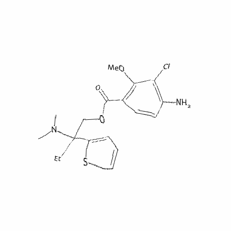 CCC(COC(=O)c1ccc(N)c(Cl)c1OC)(c1cccs1)N(C)C